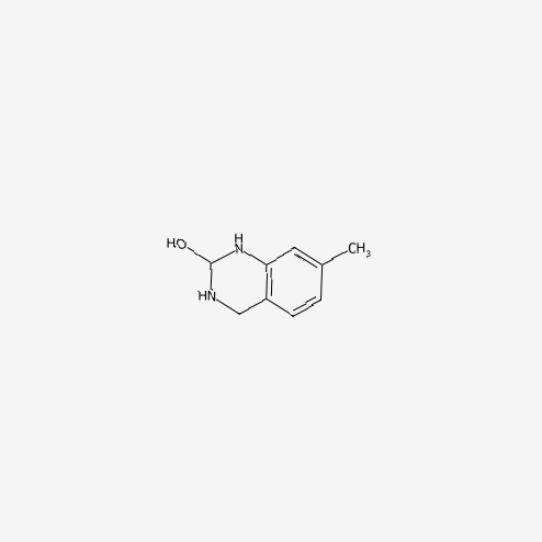 Cc1ccc2c(c1)NC(O)NC2